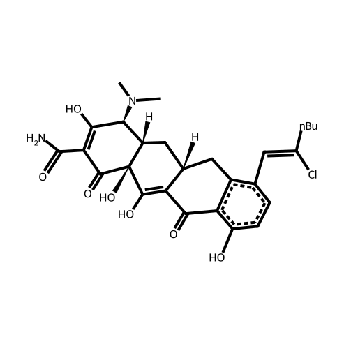 CCCC/C(Cl)=C/c1ccc(O)c2c1C[C@H]1C[C@H]3[C@H](N(C)C)C(O)=C(C(N)=O)C(=O)[C@@]3(O)C(O)=C1C2=O